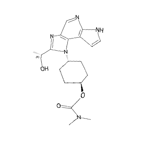 C[C@@H](O)c1nc2cnc3[nH]ccc3c2n1[C@H]1CC[C@H](OC(=O)N(C)C)CC1